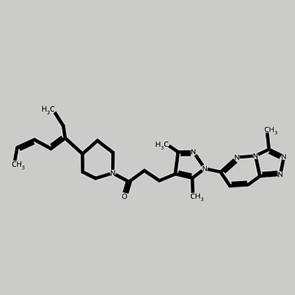 C/C=C\C=C(/CC)C1CCN(C(=O)CCc2c(C)nn(-c3ccc4nnc(C)n4n3)c2C)CC1